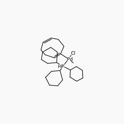 [CH3][Pd]([Cl])([C]1=CCCC=CCC1)[PH](C1CCCCC1)(C1CCCCC1)C1CCCCC1